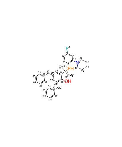 CCCC(CC)(Pc1ccc(F)cc1N1CCCCC1)c1cc(Cc2ccccc2)cc(Cc2ccccc2)c1O